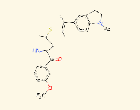 CC(=O)N1CCc2cc(/C(C)=C(\C)SC(C)CC(=N)C(=O)c3cccc(OC(F)(F)F)c3)ccc21